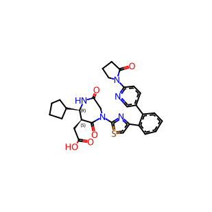 O=C(O)C[C@@H]1C(=O)N(c2nc(-c3ccccc3-c3ccc(N4CCCC4=O)nc3)cs2)CC(=O)N[C@@H]1C1CCCC1